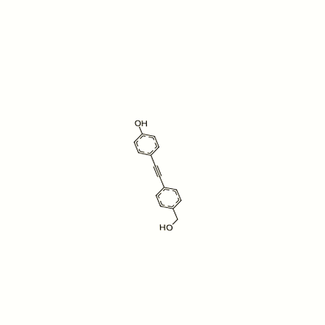 OCc1ccc(C#Cc2ccc(O)cc2)cc1